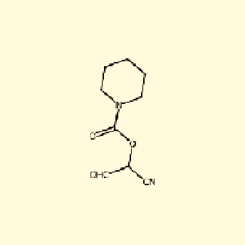 N#CC(C=O)OC(=O)N1CCCCC1